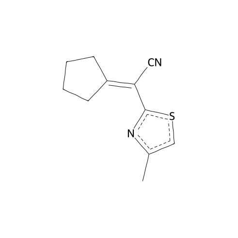 Cc1csc(C(C#N)=C2CCCC2)n1